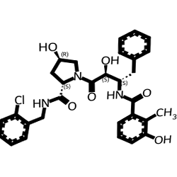 Cc1c(O)cccc1C(=O)N[C@@H](Cc1ccccc1)[C@H](O)C(=O)N1C[C@H](O)C[C@H]1C(=O)NCc1ccccc1Cl